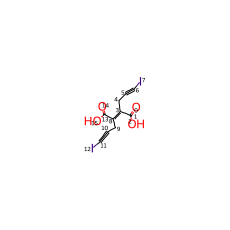 O=C(O)C(CC#CI)=C(CC#CI)C(=O)O